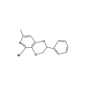 Brc1nc(I)cc2c1OCC(c1ccccc1)O2